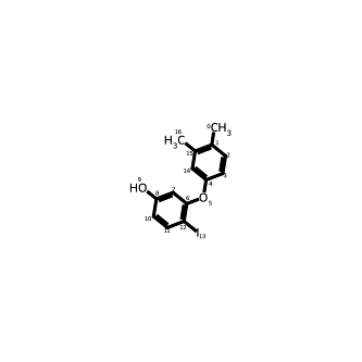 Cc1ccc(Oc2cc(O)ccc2I)cc1C